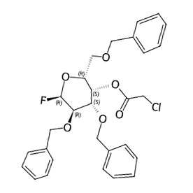 O=C(CCl)O[C@@H]1[C@H](OCc2ccccc2)[C@@H](OCc2ccccc2)[C@@H](F)O[C@@H]1COCc1ccccc1